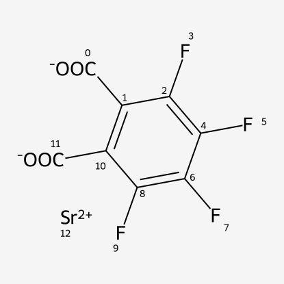 O=C([O-])c1c(F)c(F)c(F)c(F)c1C(=O)[O-].[Sr+2]